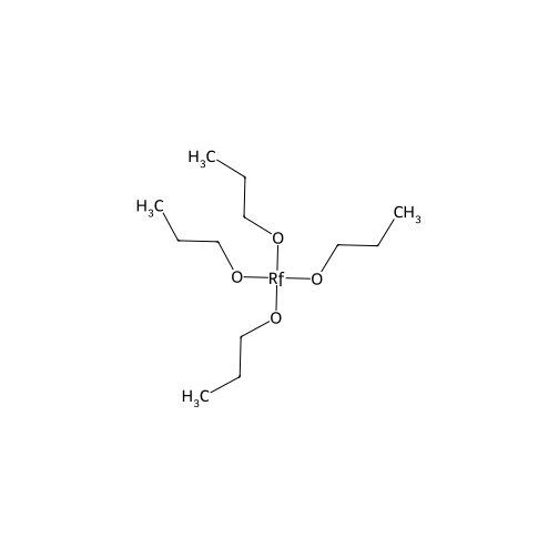 CCC[O][Rf]([O]CCC)([O]CCC)[O]CCC